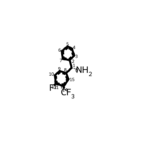 N[C@@H](c1ccccc1)c1ccc(F)c(C(F)(F)F)c1